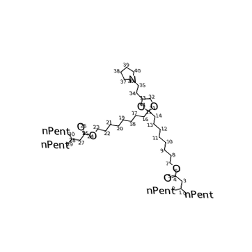 CCCCCC(CCCCC)CC(=O)OCCCCCCCCC1(CCCCCCCCOC(=O)CC(CCCCC)CCCCC)OCC(CCN2CCCC2)O1